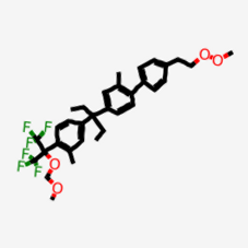 CCC(CC)(c1ccc(-c2ccc(CCOOC)cc2)c(C)c1)c1ccc(C(OCOC)(C(F)(F)F)C(F)(F)F)c(C)c1